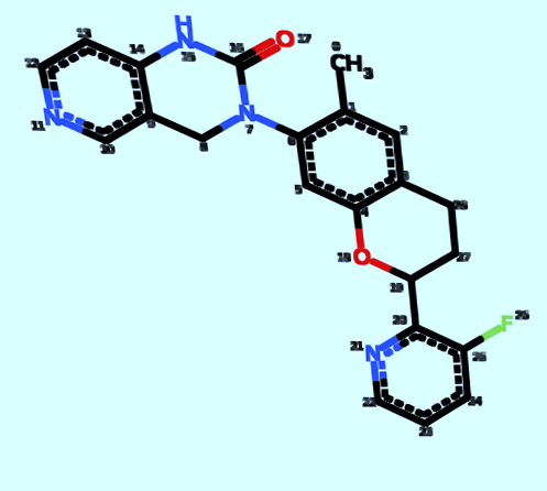 Cc1cc2c(cc1N1Cc3cnccc3NC1=O)OC(c1ncccc1F)CC2